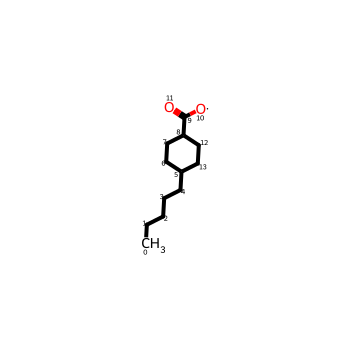 CCCCCC1CCC(C([O])=O)CC1